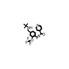 CC(C)(C)NCc1ccc(F)c(OC(F)(F)F)c1.NC(=O)c1ccncc1